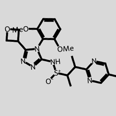 COc1cccc(OC)c1-n1c(N[S+]([O-])C(C)C(C)c2ncc(C)cn2)nnc1C1COC1